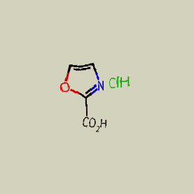 Cl.O=C(O)c1ncco1